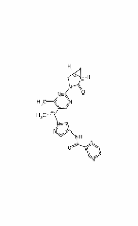 Cc1nc(N2C[C@H]3C[C@H]3C2=O)ncc1[C@@H](C)n1cc(NC(=O)c2cnccn2)cn1